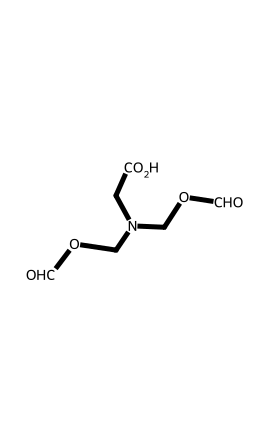 O=COCN(COC=O)CC(=O)O